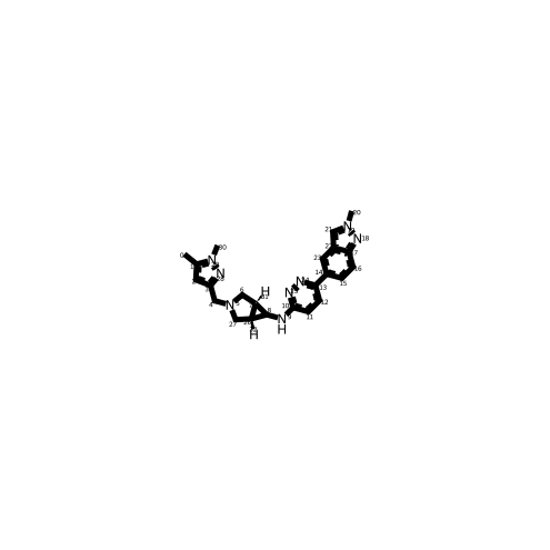 Cc1cc(CN2C[C@H]3C(Nc4ccc(-c5ccc6nn(C)cc6c5)nn4)[C@@H]3C2)nn1C